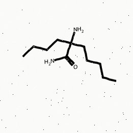 CCCCCC(N)(CCCC)C(N)=O